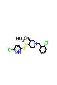 O=C(O)/C=C1/CN(Cc2ccccc2Cl)CCC1SSc1ccc(Cl)nn1